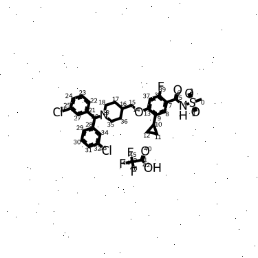 CS(=O)(=O)NC(=O)c1cc(C2CC2)c(OCC2CCN(C(c3cccc(Cl)c3)c3cccc(Cl)c3)CC2)cc1F.O=C(O)C(F)(F)F